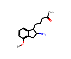 CCOc1cccc2c1CC(N)C2CCCC(=O)OC